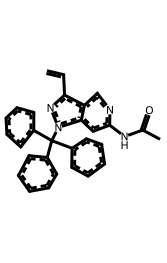 C=Cc1nn(C(c2ccccc2)(c2ccccc2)c2ccccc2)c2cc(NC(C)=O)ncc12